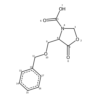 O=C1OCN(C(=O)O)C1COCc1ccccc1